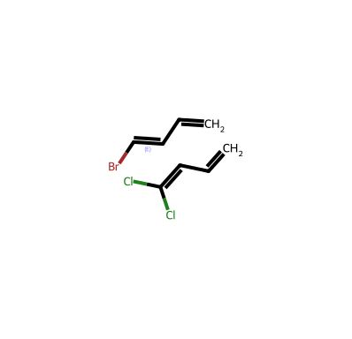 C=C/C=C/Br.C=CC=C(Cl)Cl